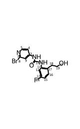 O=C(Nc1ccnc(Br)c1)Nc1cc(F)ccc1CCO